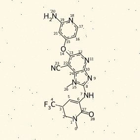 CN1CC(C(F)(F)F)C=C(Nc2nc3ncc(Oc4ccnc(N)c4)c(C#N)c3n2C)C1=O